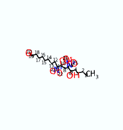 CCCCCC(O)C(CC(O)C(CCCCCCCC=O)[N+](=O)[O-])[N+](=O)[O-]